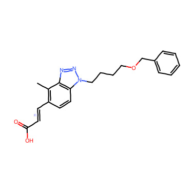 Cc1c(/C=C/C(=O)O)ccc2c1nnn2CCCCOCc1ccccc1